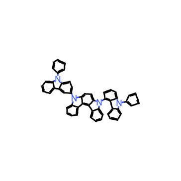 c1ccc(-n2c3ccccc3c3cc(-n4c5ccccc5c5c6c7ccccc7n(-c7cccc8c7c7ccccc7n8-c7ccccc7)c6ccc54)ccc32)cc1